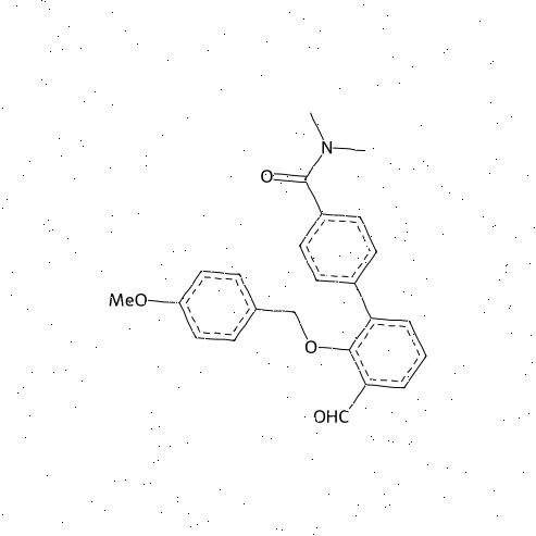 COc1ccc(COc2c(C=O)cccc2-c2ccc(C(=O)N(C)C)cc2)cc1